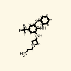 NCCN1CC(Nc2cc(C(F)(F)F)cc3c2Nc2ccccc2S3)C1